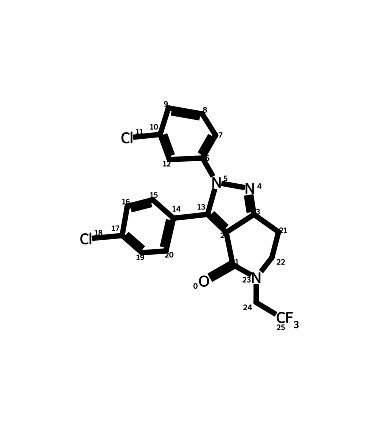 O=C1c2c(nn(-c3cccc(Cl)c3)c2-c2ccc(Cl)cc2)CCN1CC(F)(F)F